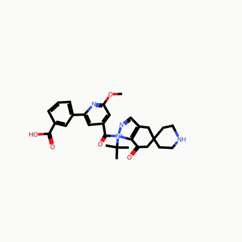 COc1cc(C(=O)[N+]2(C(C)(C)C)N=CC3=C2C(=O)CC2(CCNCC2)C3)cc(-c2cccc(C(=O)O)c2)n1